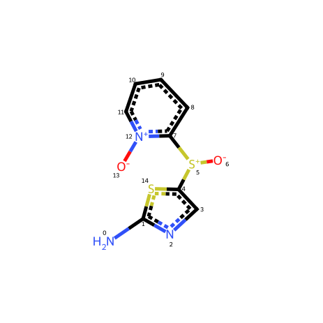 Nc1ncc([S+]([O-])c2cccc[n+]2[O-])s1